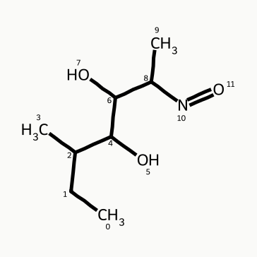 CCC(C)C(O)C(O)C(C)N=O